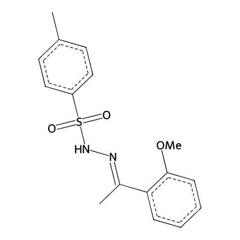 COc1ccccc1C(C)=NNS(=O)(=O)c1ccc(C)cc1